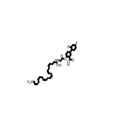 CC/C=C\C/C=C\C/C=C\C/C=C\C/C=C\C/C=C\CCC(O)NCC(=O)Oc1ccc(-c2ccc(F)cc2F)cc1C(=O)O